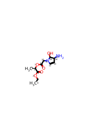 CCOC(=O)[C@@H](C)OC(=O)CN1C=CC(N)C1O